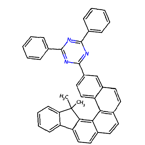 CC1(C)c2ccccc2-c2ccc3ccc4ccc5cc(-c6nc(-c7ccccc7)nc(-c7ccccc7)n6)ccc5c4c3c21